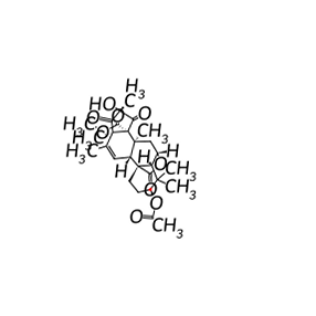 COC(=O)[C@@]12C(=O)[C@@](C)(O)C(=O)[C@]1(C)C(C)=C[C@H]1[C@]34CC[C@H](OC(C)=O)C(C)(C)[C@H]3[C@H](C[C@@]12C)OC4=O